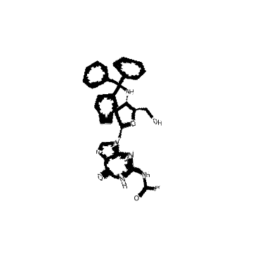 CC(C)C(=O)Nc1nc2c(ncn2[C@H]2C[C@H](NC(c3ccccc3)(c3ccccc3)c3ccccc3)[C@@H](CO)O2)c(=O)[nH]1